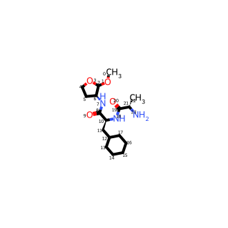 COC1OCC[C@@H]1NC(=O)[C@H](CC1CCCCC1)NC(=O)[C@H](C)N